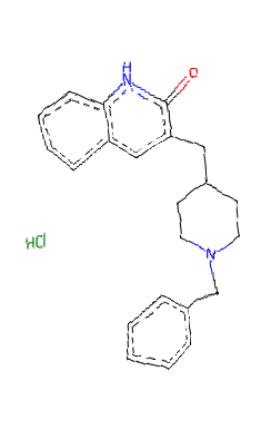 Cl.O=c1[nH]c2ccccc2cc1CC1CCN(Cc2ccccc2)CC1